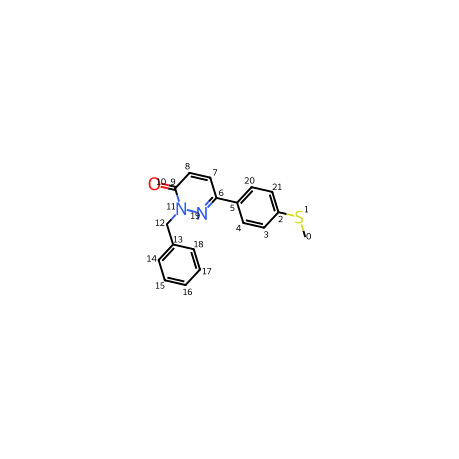 CSc1ccc(-c2ccc(=O)n(Cc3ccccc3)n2)cc1